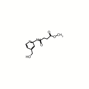 COC(=O)CCC(=O)Nc1cc(CO)ccn1